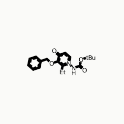 CCc1c(OCc2ccccc2)c(=O)ccn1NC(=O)OC(C)(C)C